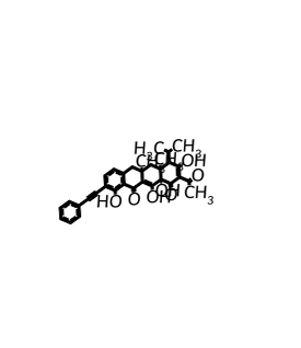 CC(=O)C1=C(O)C(C(C)C)[C@@]2(C)C[C@@]3(C)Cc4ccc(C#Cc5ccccc5)c(O)c4C(=O)C3=C(O)[C@@]2(O)C1=O